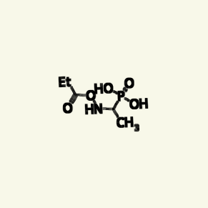 CCC(=O)ONC(C)P(=O)(O)O